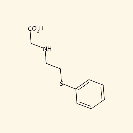 O=C(O)CNCCSc1ccccc1